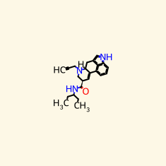 C#CCN1C[C@H](C(=O)NC(CC)CC)C=C2c3cccc4[nH]cc(c34)C[C@H]21